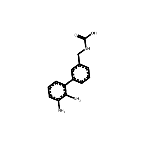 Nc1cccc(-c2cccc(CNC(=O)O)c2)c1N